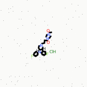 CC(=O)N1CCN(C(=O)CCCN2CC[C@@H]3[C@@H](C2)c2cc(F)ccc2N3c2ccc(F)cc2)CC1.Cl